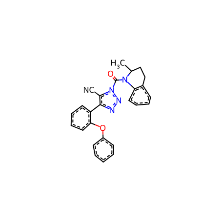 CC1CCc2ccccc2N1C(=O)n1nnc(-c2ccccc2Oc2ccccc2)c1C#N